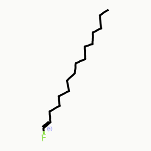 CCCCCCCCCCCCCC/C=C/F